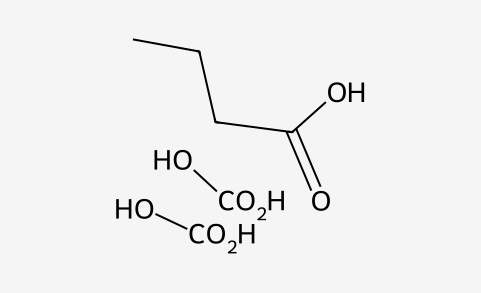 CCCC(=O)O.O=C(O)O.O=C(O)O